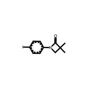 CC1(C)CN(c2ccc(I)cc2)C1=O